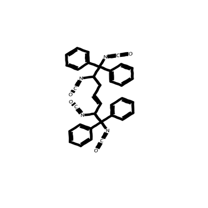 O=C=NC(C=CCC(N=C=O)C(N=C=O)(c1ccccc1)c1ccccc1)C(N=C=O)(c1ccccc1)c1ccccc1